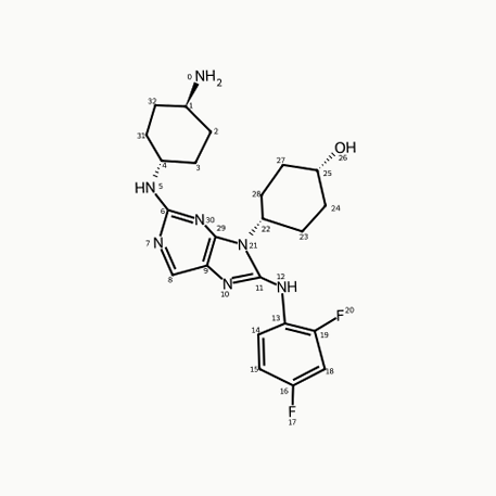 N[C@H]1CC[C@H](Nc2ncc3nc(Nc4ccc(F)cc4F)n([C@H]4CC[C@@H](O)CC4)c3n2)CC1